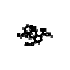 COc1ccc(C(C)O)c2c1C[C@H]1[C@H](C2)OCCN1C